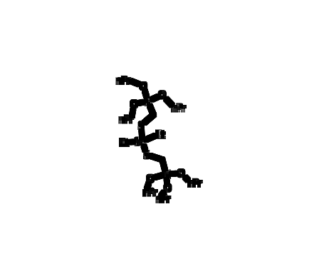 CCCO[Si](C[S][Sn]([CH2]C)([CH2]C)[S]C[Si](OCCC)(OCCC)OCCC)(OCCC)OCCC